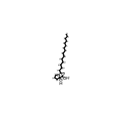 CCCCCCCCCCCCCCCCN1CCCC1(O)C(=O)O